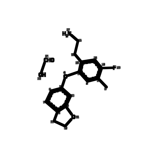 Cc1cc(Oc2ccc3c(c2)OCC3)c(CCN)cc1F.O=CO